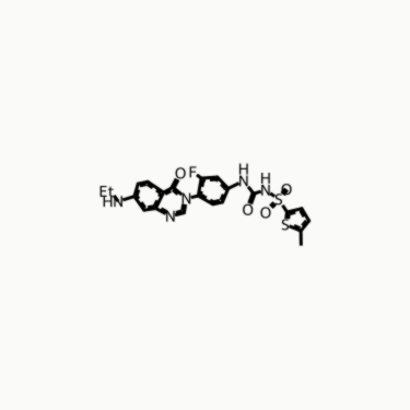 CCNc1ccc2c(=O)n(-c3ccc(NC(=O)NS(=O)(=O)c4ccc(C)s4)cc3F)cnc2c1